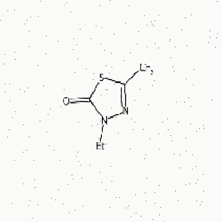 CCn1nc(C(F)(F)F)sc1=O